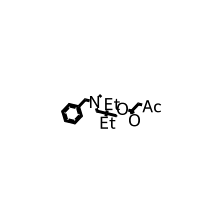 CCC(CC)(COC(=O)CC(C)=O)CN(C)Cc1ccccc1